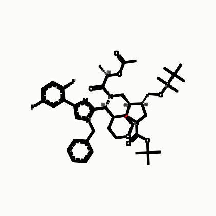 CC(=O)O[C@@H](C)C(=O)N(C[C@@H]1CN(C(=O)OC(C)(C)C)C[C@H]1CO[Si](C)(C)C(C)(C)C)[C@@H](c1nc(-c2cc(F)ccc2F)cn1Cc1ccccc1)C1CCOCC1